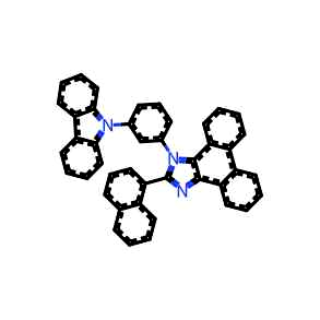 c1cc(-n2c(-c3cccc4ccccc34)nc3c4ccccc4c4ccccc4c32)cc(-n2c3ccccc3c3ccccc32)c1